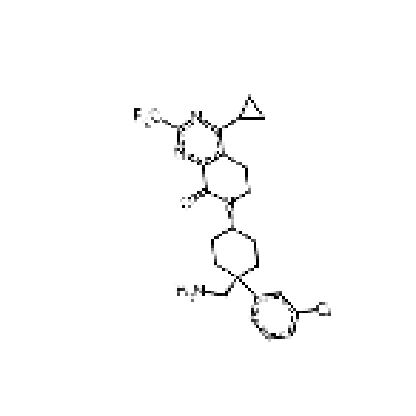 NC[C@]1(c2cccc(Cl)c2)CC[C@H](N2CCc3c(nc(C(F)(F)F)nc3C3CC3)C2=O)CC1